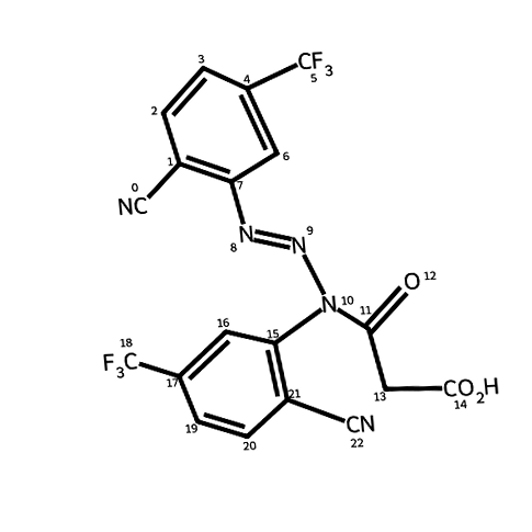 N#Cc1ccc(C(F)(F)F)cc1N=NN(C(=O)CC(=O)O)c1cc(C(F)(F)F)ccc1C#N